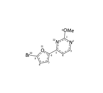 COc1nccc(-c2ccc(Br)o2)n1